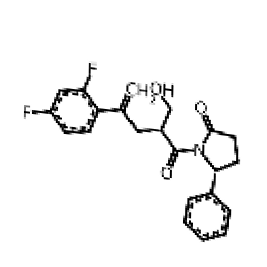 C=C(C[C@@H](CO)C(=O)N1C(=O)CC[C@H]1c1ccccc1)c1ccc(F)cc1F